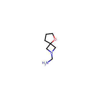 NCN1CC2(CCCO2)C1